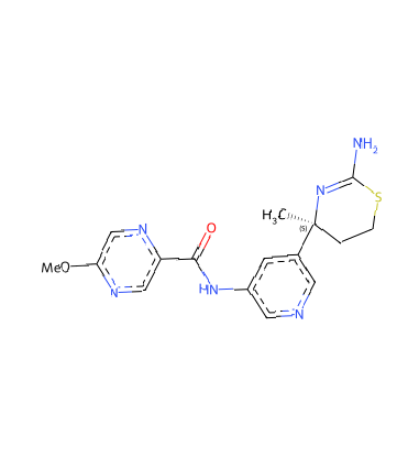 COc1cnc(C(=O)Nc2cncc([C@]3(C)CCSC(N)=N3)c2)cn1